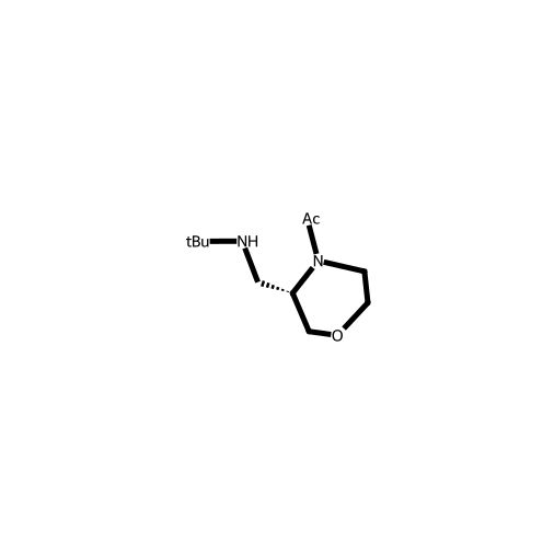 CC(=O)N1CCOC[C@@H]1CNC(C)(C)C